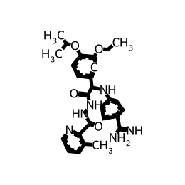 CCOc1cc(C(Nc2ccc(C(=N)N)cc2)C(=O)NNC(=O)c2ncccc2C)ccc1OC(C)C